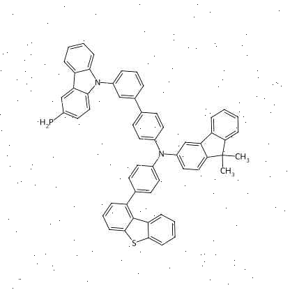 CC1(C)c2ccccc2-c2cc(N(c3ccc(-c4cccc(-n5c6ccccc6c6cc(P)ccc65)c4)cc3)c3ccc(-c4cccc5sc6ccccc6c45)cc3)ccc21